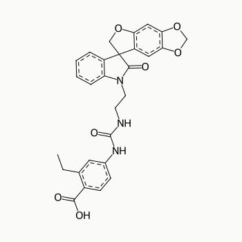 CCc1cc(NC(=O)NCCN2C(=O)C3(COc4cc5c(cc43)OCO5)c3ccccc32)ccc1C(=O)O